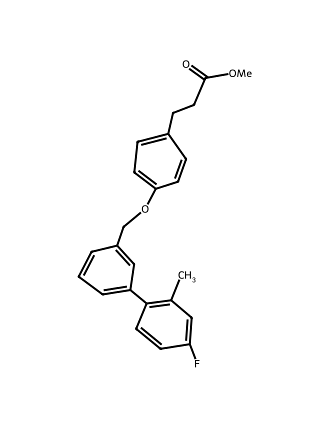 COC(=O)CCc1ccc(OCc2cccc(-c3ccc(F)cc3C)c2)cc1